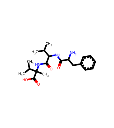 CC(C)C(NC(=O)C(N)Cc1ccccc1)C(=O)NC(C)(C(=O)O)C(C)C